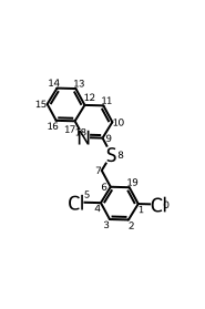 Clc1ccc(Cl)c(CSc2ccc3ccccc3n2)c1